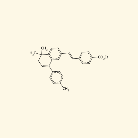 CCOC(=O)c1ccc(C=Cc2ccc3c(c2)C(c2ccc(C)cc2)=CCC3(C)C)cc1